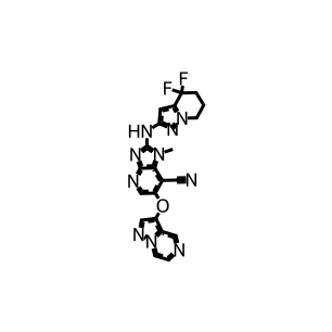 Cn1c(Nc2cc3n(n2)CCCC3(F)F)nc2ncc(Oc3cnn4ccncc34)c(C#N)c21